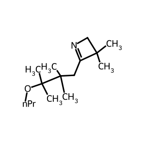 CCCOC(C)(C)C(C)(C)CC1=NCC1(C)C